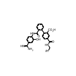 CC(C)CNC(=O)c1ccc(-c2ccccc2C(=O)Nc2ccc(C(=N)N)cc2O)c(C(=O)O)c1